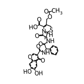 CC(=O)OCC1=C(C(=O)O)N2C(=O)[C@@H](NC(=O)C(NC(=O)c3coc4cc(O)c(O)cc4c3=O)c3ccccc3)[C@@H]2SC1